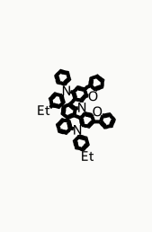 CCc1ccc(N(c2ccccc2)c2cc3c4ccccc4oc3c3c2c2cccc4c5c(N(c6ccccc6)c6ccc(CC)cc6)cc6c7ccccc7oc6c5n3c24)cc1